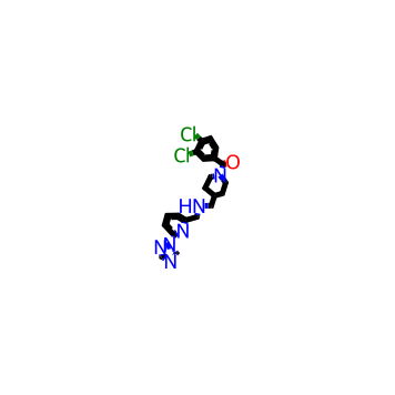 O=C(c1ccc(Cl)c(Cl)c1)N1CCC(CNCc2cccc(-n3cncn3)n2)CC1